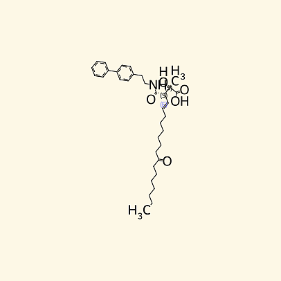 CCCCCCCC(=O)CCCCCC/C=C/[C@H](C(=O)NCCc1ccc(-c2ccccc2)cc1)[C@](C)(O)C(=O)O